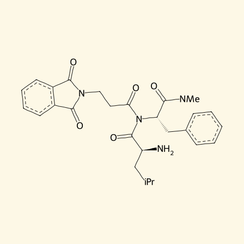 CNC(=O)[C@H](Cc1ccccc1)N(C(=O)CCN1C(=O)c2ccccc2C1=O)C(=O)[C@@H](N)CC(C)C